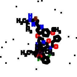 C=C[C@@H]1C[C@]1(NC(=O)[C@@H]1C[C@@H](Oc2cc(-c3csc(NC(C)C)n3)nc3cc(OC)ccc23)CN1C(=O)[C@@H](NC(=O)CC1CCCC1)C(C)(C)C)P(=O)(O)Cc1c(F)cccc1F